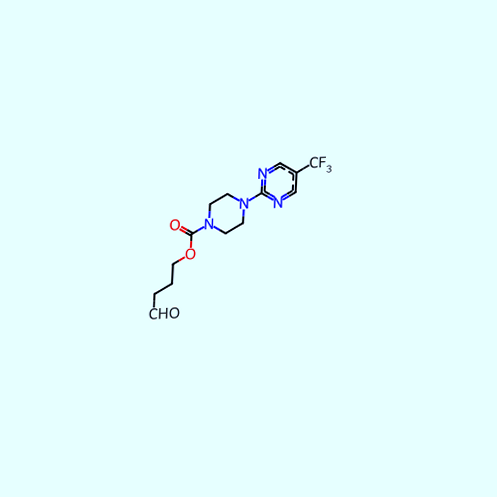 O=CCCCOC(=O)N1CCN(c2ncc(C(F)(F)F)cn2)CC1